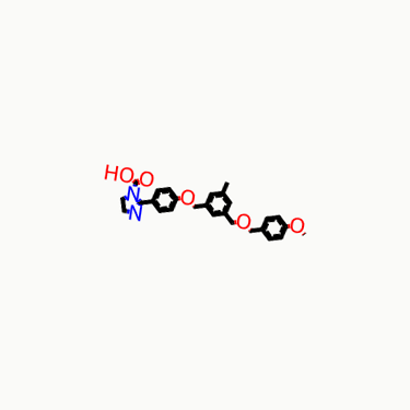 COc1ccc(COCc2cc(C)cc(COc3ccc(C4=NCCN4C(=O)O)cc3)c2)cc1